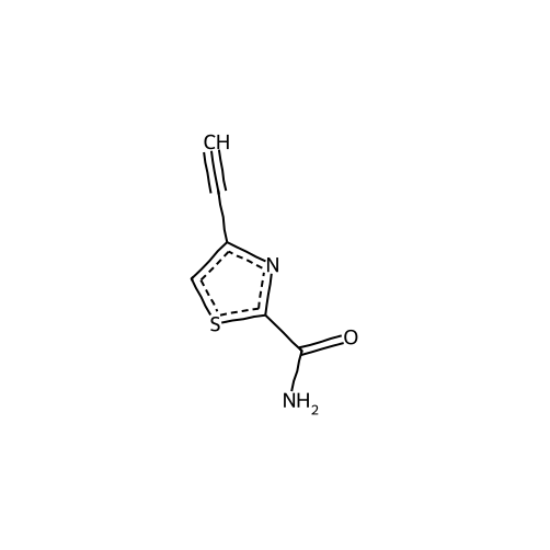 C#Cc1csc(C(N)=O)n1